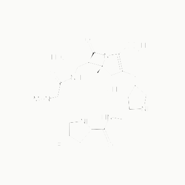 CNCC(=O)N[C@H](C)[C@H]1C(=O)N2C(C(=O)O)=C(S[C@@H]3CN[C@H](CNC(=O)C4C[C@H](F)CN4)C3)[C@H](C)[C@H]12